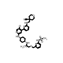 C[C@H](COCc1cccc(NS(C)(=O)=O)n1)N[C@H]1CC[C@H](Nc2cc(-c3cccc(NCC4(C#N)CCOCC4)n3)c(Cl)cn2)CC1